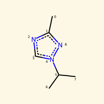 Cc1n[c]n(C(C)C)n1